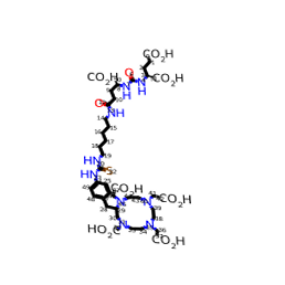 O=C(O)CC[C@H](NC(=O)N[C@@H](CCC(=O)NCCCCCCNC(=S)Nc1ccc(CC2CN(C(=O)O)CCN(CC(=O)O)CCN(CC(=O)O)CCN2CC(=O)O)cc1)C(=O)O)C(=O)O